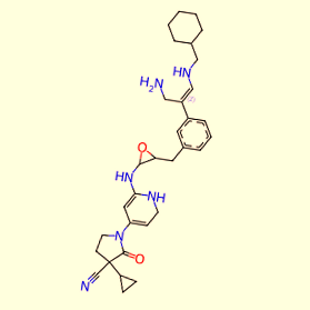 N#CC1(C2CC2)CCN(C2=CCNC(NC3OC3Cc3cccc(/C(=C/NCC4CCCCC4)CN)c3)=C2)C1=O